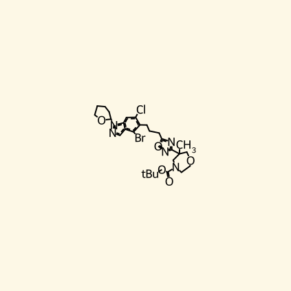 CC(C)(C)OC(=O)N1CCOCC(C)(c2noc(CCCc3c(Cl)cc4c(cnn4C4CCCCO4)c3Br)n2)C1